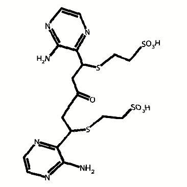 Nc1nccnc1C(CC(=O)CC(SCCS(=O)(=O)O)c1nccnc1N)SCCS(=O)(=O)O